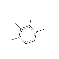 CCOC(=O)c1ccc([N+](=O)[O-])c(F)c1F